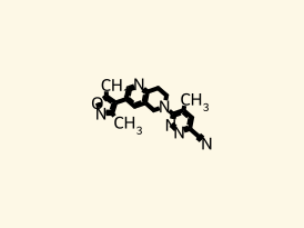 Cc1cc(C#N)nnc1N1CCc2ncc(-c3c(C)noc3C)cc2C1